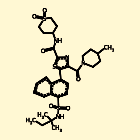 CCC(C)(C)NS(=O)(=O)c1ccc(-c2sc(C(=O)NC3CCS(=O)(=O)CC3)nc2C(=O)N2CCC(C)CC2)c2ccccc12